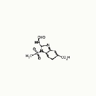 CS(=O)(=O)N1C2=CCC(C(=O)O)=CC2=NC1NC=O